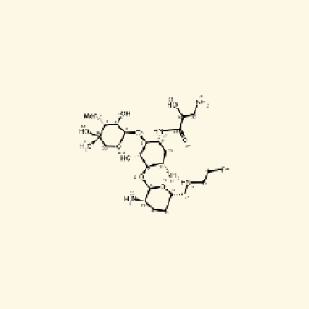 CN[C@@H]1[C@@H](O)[C@@H](O[C@@H]2[C@@H](O)[C@H](O[C@H]3O[C@H](CNCCF)CC[C@H]3N)[C@@H](N)C[C@H]2NC(=O)C(O)CN)OC[C@]1(C)O